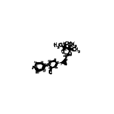 CC1(C)OB([C@H]2C[C@@H]2c2ccn(-c3ccncc3)c(=O)c2)OC1(C)C